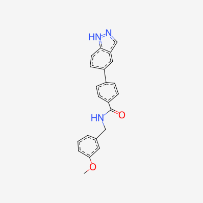 COc1cccc(CNC(=O)c2ccc(-c3ccc4[nH]ncc4c3)cc2)c1